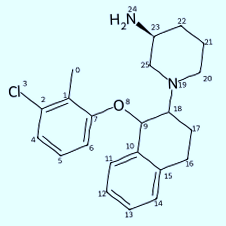 Cc1c(Cl)cccc1OC1c2ccccc2CCC1N1CCC[C@H](N)C1